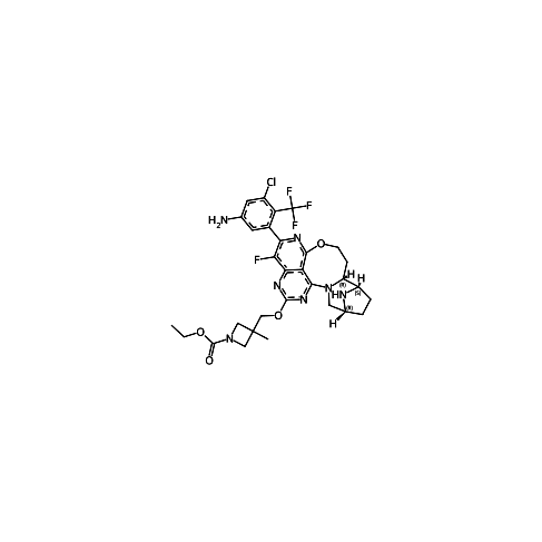 CCOC(=O)N1CC(C)(COc2nc3c4c(nc(-c5cc(N)cc(Cl)c5C(F)(F)F)c(F)c4n2)OCC[C@@H]2[C@@H]4CC[C@H](CN32)N4)C1